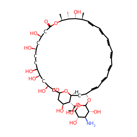 C[C@@H]1[C@H](O)[C@@H](C)/C=C/C=C/C=C/C=C/C=C/C=C/C=C/[C@H](OC2O[C@H](C)[C@@H](O)[C@H](N)[C@H]2O)C[C@@H]2O[C@](O)(C[C@@H](O)C[C@@H](O)C(O)CC[C@@H](O)C[C@@H](O)CC(=O)O[C@H]1C)C[C@H](O)[C@H]2C(=O)O